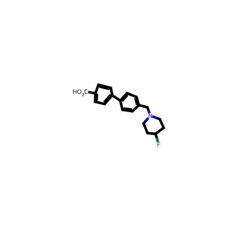 O=C(O)c1ccc(-c2ccc(CN3CCC(F)CC3)cc2)cc1